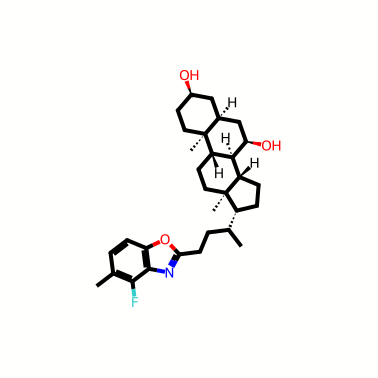 Cc1ccc2oc(CCC(C)[C@H]3CC[C@H]4[C@@H]5[C@H](O)C[C@@H]6C[C@H](O)CC[C@]6(C)[C@H]5CC[C@]34C)nc2c1F